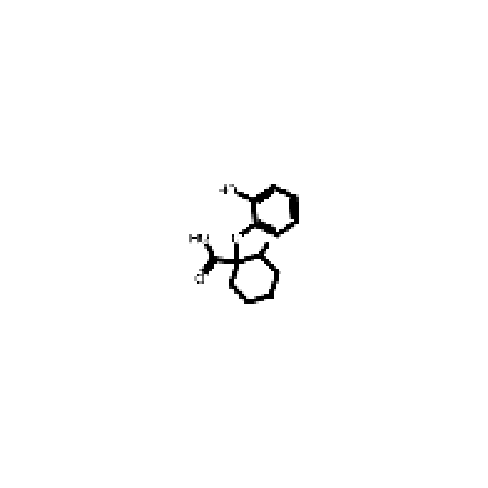 CC1CCCCC1(Oc1ccccc1O)C(=O)O